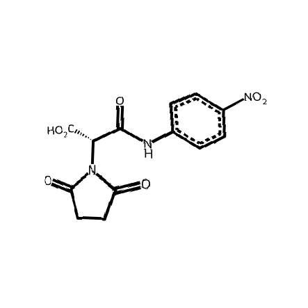 O=C(O)[C@H](C(=O)Nc1ccc([N+](=O)[O-])cc1)N1C(=O)CCC1=O